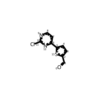 O=Cc1ccc(-c2ccnc(Cl)n2)s1